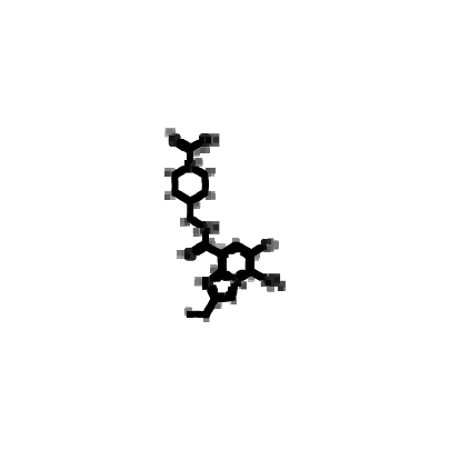 CCc1cn2c(N)c(Cl)cc(C(=O)NCC3CCN(C(=O)O)CC3)c2n1